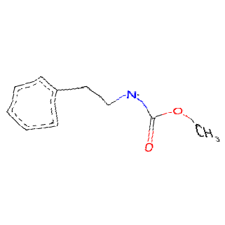 COC(=O)[N]CCc1ccccc1